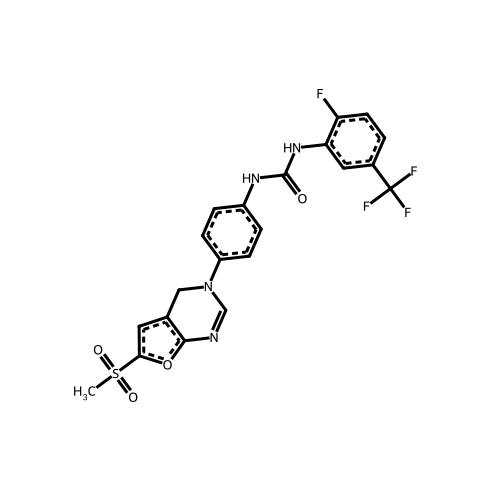 CS(=O)(=O)c1cc2c(o1)N=CN(c1ccc(NC(=O)Nc3cc(C(F)(F)F)ccc3F)cc1)C2